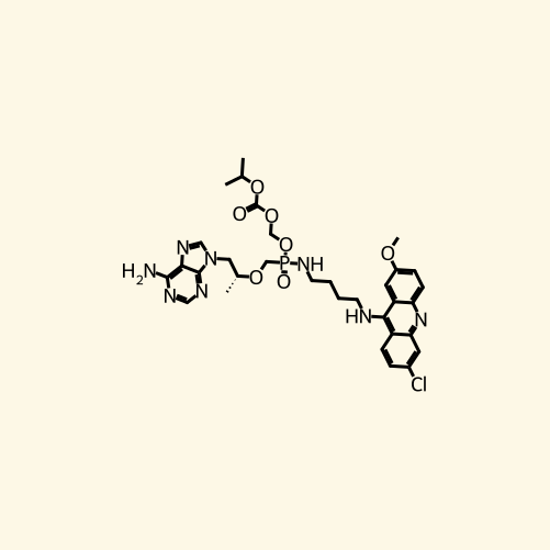 COc1ccc2nc3cc(Cl)ccc3c(NCCCCNP(=O)(CO[C@H](C)Cn3cnc4c(N)ncnc43)OCOC(=O)OC(C)C)c2c1